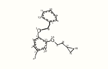 Ic1ccc(OCc2ccccc2)c(OCCC2CC2)n1